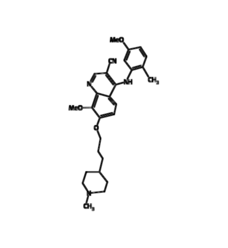 COc1ccc(C)c(Nc2c(C#N)cnc3c(OC)c(OCCCC4CCN(C)CC4)ccc23)c1